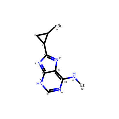 CCCCC1CC1c1nc2[nH]cnc(NCC)c-2n1